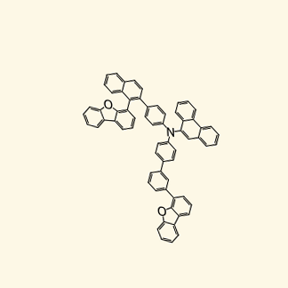 c1cc(-c2ccc(N(c3ccc(-c4ccc5ccccc5c4-c4cccc5c4oc4ccccc45)cc3)c3cc4ccccc4c4ccccc34)cc2)cc(-c2cccc3c2oc2ccccc23)c1